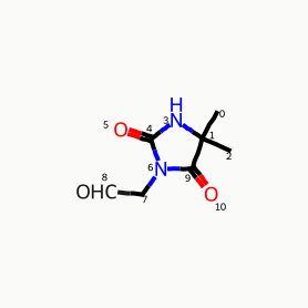 CC1(C)NC(=O)N(CC=O)C1=O